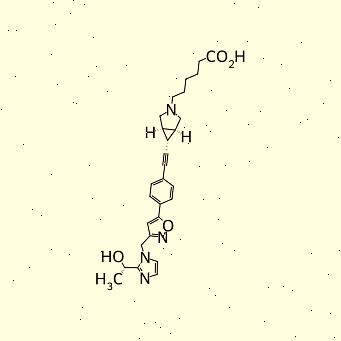 C[C@H](O)c1nccn1Cc1cc(-c2ccc(C#C[C@@H]3[C@H]4CN(CCCCCC(=O)O)C[C@@H]34)cc2)on1